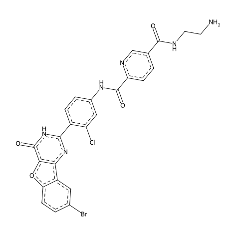 NCCNC(=O)c1ccc(C(=O)Nc2ccc(-c3nc4c(oc5ccc(Br)cc54)c(=O)[nH]3)c(Cl)c2)nc1